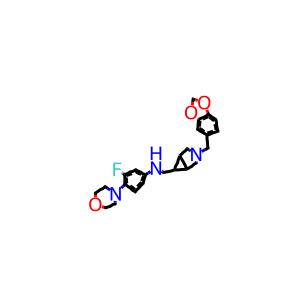 Fc1cc(NCC2C3CN(Cc4ccc5c(c4)OCO5)CC23)ccc1N1CCOCC1